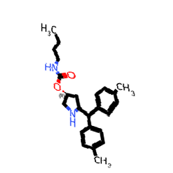 CCCCNC(=O)O[C@H]1CNC(C(c2ccc(C)cc2)c2ccc(C)cc2)C1